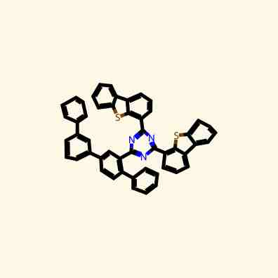 c1ccc(-c2cccc(-c3ccc(-c4ccccc4)c(-c4nc(-c5cccc6c5sc5ccccc56)nc(-c5cccc6c5sc5ccccc56)n4)c3)c2)cc1